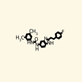 Cc1cc(C)cc(NC(=O)Nc2ccc3[nH]c(CCc4ccc(F)cc4)nc3c2)c1